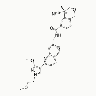 COCCn1cc(-c2ccc3cnc(CNC(=O)c4ccc5c(c4)[C@](C)(C#N)COC5)cc3n2)c(OC)n1